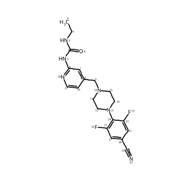 CCNC(=O)Nc1cc(CN2CCN(c3c(F)cc(C#N)cc3F)CC2)ccn1